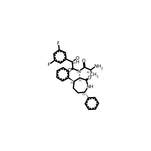 C[C@H](N)C(=O)N(C(=O)[C@H](O)c1cc(F)cc(F)c1)[C@@H]1C(=O)N[C@H](c2ccccc2)CC[C@H]1c1ccccc1